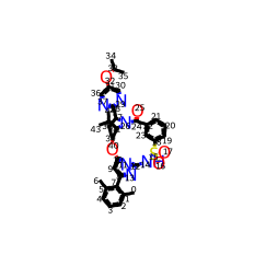 Cc1cccc(C)c1-c1cc2nc(n1)NS(=O)(=O)c1cccc(c1)C(=O)N1C(c3ncc(OC(C)C)cn3)CC(O2)C1C(C)C